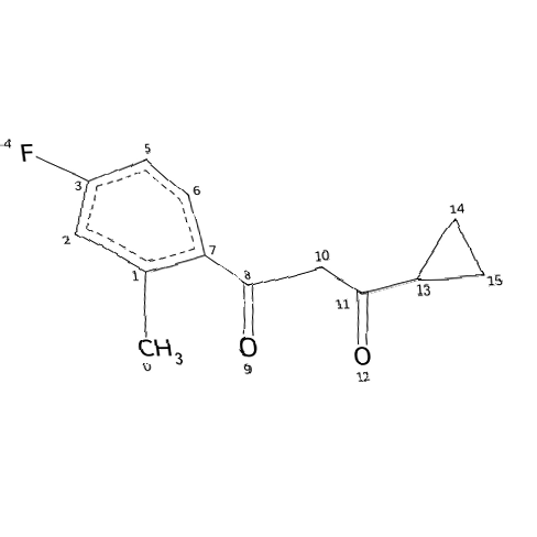 Cc1cc(F)ccc1C(=O)CC(=O)C1CC1